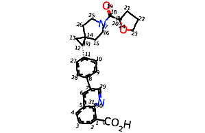 O=C(O)c1cccc2cc(-c3ccc([C@@H]4CC45CCN(C(=O)[C@H]4CCCO4)CC5)cc3)cnc12